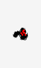 c1ccc(C2N=C(c3ccc4ccc5ccccc5c4c3)N=C(c3cccc4oc5cccc(-c6ccc7oc8ccccc8c7c6)c5c34)N2)cc1